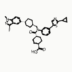 Cn1nc(F)c2cc([C@H]3CC[C@H](CN(c4cccc(-c5cnc(C6CC6)s5)c4)C(=O)[C@H]4CC[C@H](C(=O)O)CC4)CC3)ccc21